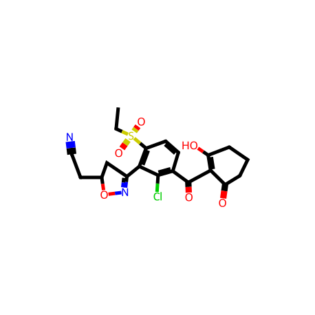 CCS(=O)(=O)c1ccc(C(=O)C2=C(O)CCCC2=O)c(Cl)c1C1=NOC(CC#N)C1